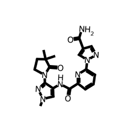 Cn1cc(NC(=O)c2cccc(-n3cc(C(N)=O)cn3)n2)c(N2CCC(C)(C)C2=O)n1